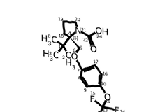 CC(C)(C)[C@]1(COc2ccc(OC(F)(F)F)cc2)CCCN1C(=O)O